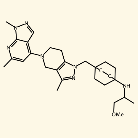 COCC(C)NC12CCC(Cn3nc(C)c4c3CCN(c3cc(C)nc5c3cnn5C)C4)(CC1)CC2